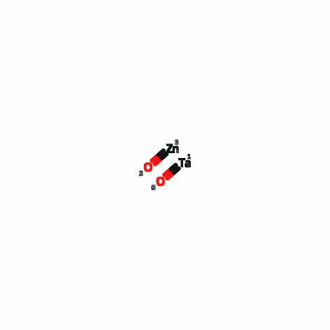 [O]=[Ta].[O]=[Zn]